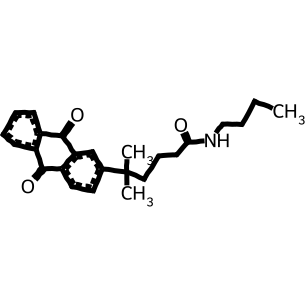 CCCCNC(=O)CCCC(C)(C)c1ccc2c(c1)C(=O)c1ccccc1C2=O